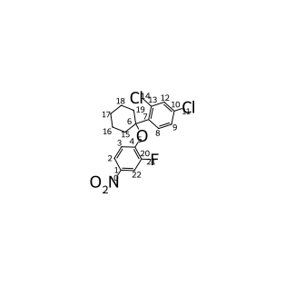 O=[N+]([O-])c1ccc(OC2(c3ccc(Cl)cc3Cl)CCCCC2)c(F)c1